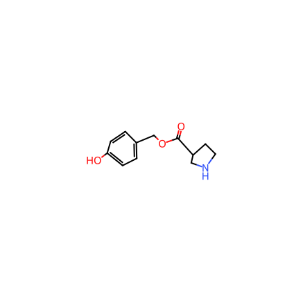 O=C(OCc1ccc(O)cc1)C1CCNC1